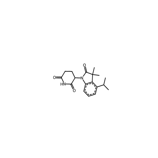 CC(C)c1cccc2c1C(C)(C)C(=O)N2C1CCC(=O)NC1=O